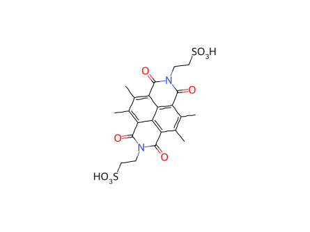 Cc1c(C)c2c3c(c(C)c(C)c4c3c1C(=O)N(CCS(=O)(=O)O)C4=O)C(=O)N(CCS(=O)(=O)O)C2=O